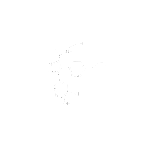 CCNC(=O)c1noc(-c2cc(C)c(O)cc2O)c1-c1ccc(OC)cc1